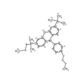 CCCCc1ccc(N2c3ccc(C(C)(C)C)cc3Oc3cc(C(C)(C)CCC)ccc32)cc1